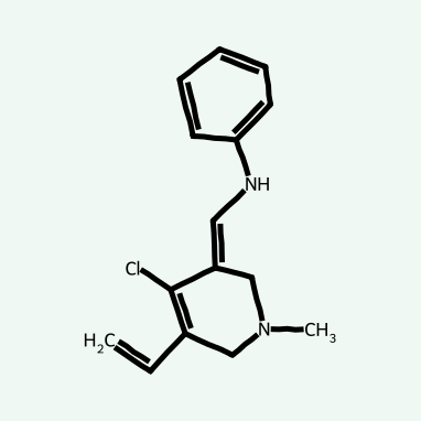 C=CC1=C(Cl)/C(=C/Nc2ccccc2)CN(C)C1